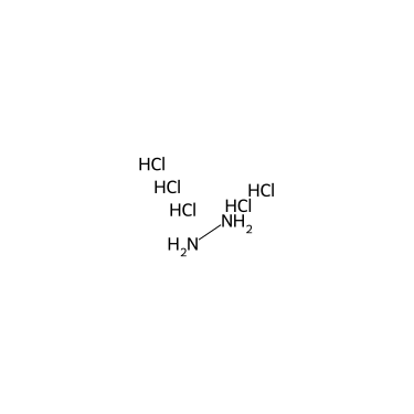 Cl.Cl.Cl.Cl.Cl.NN